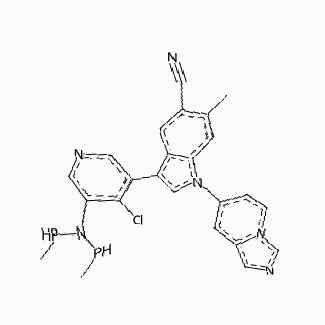 CPN(PC)c1cncc(-c2cn(-c3ccn4cncc4c3)c3cc(C)c(C#N)cc23)c1Cl